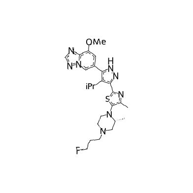 COc1cc(-c2[nH]nc(-c3nc(C)c(N4CCN(CCCF)C[C@H]4C)s3)c2C(C)C)cn2ncnc12